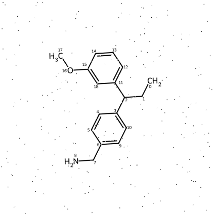 [CH2]CC(c1ccc(CN)cc1)c1cccc(OC)c1